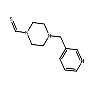 S=CN1CCN(Cc2cccnc2)CC1